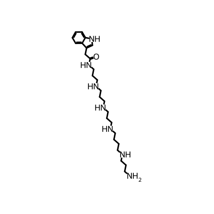 NCCCNCCCCNCCCNCCCNCCCNC(=O)Cc1c[nH]c2ccccc12